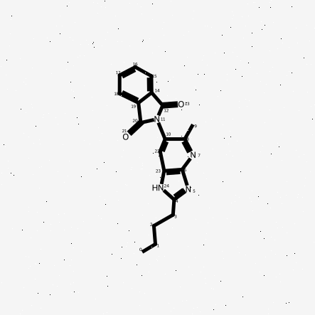 CCCCc1nc2nc(C)c(N3C(=O)c4ccccc4C3=O)cc2[nH]1